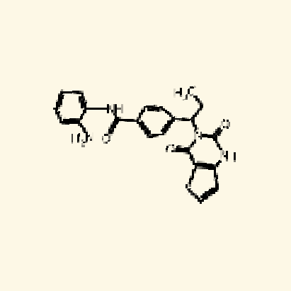 CCC(c1ccc(C(=O)Nc2ccccc2N)cc1)n1c(=O)[nH]c2ccsc2c1=O